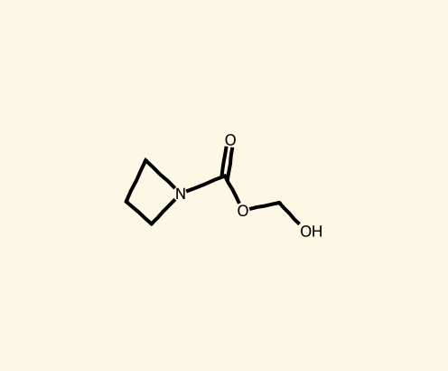 O=C(OCO)N1CCC1